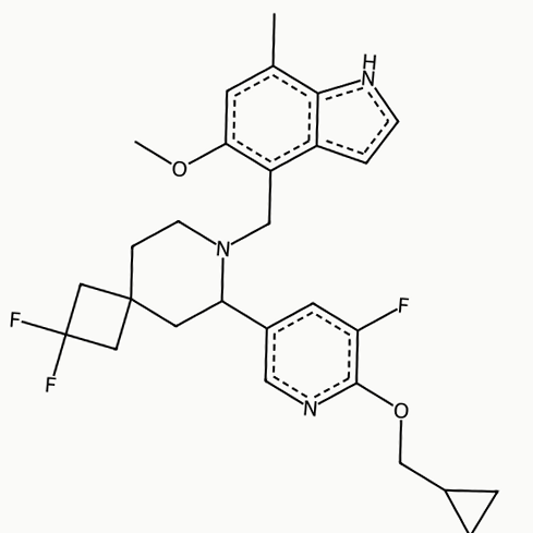 COc1cc(C)c2[nH]ccc2c1CN1CCC2(CC1c1cnc(OCC3CC3)c(F)c1)CC(F)(F)C2